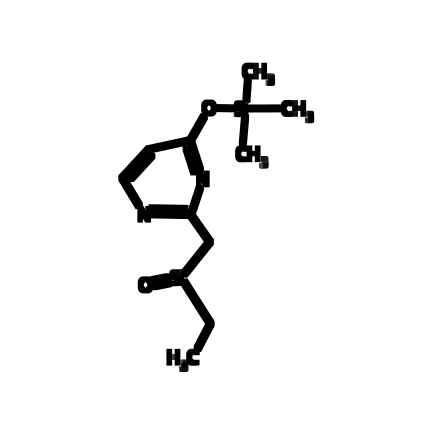 CC[Si](=O)Cc1nccc(O[Si](C)(C)C)n1